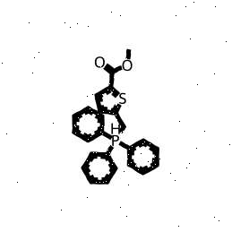 COC(=O)c1ccc(C[PH](c2ccccc2)(c2ccccc2)c2ccccc2)s1